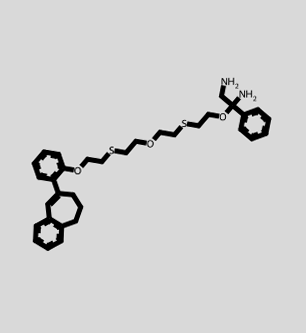 NCC(N)(OCCSCCOCCSCCOc1ccccc1C1=Cc2ccccc2CCC1)c1ccccc1